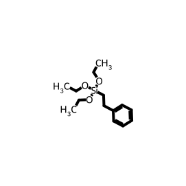 CCO[Si](CCc1ccccc1)(OCC)OCC